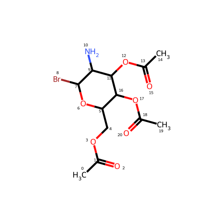 CC(=O)OCC1OC(Br)C(N)C(OC(C)=O)C1OC(C)=O